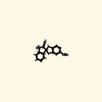 CC(C)(C)c1ccc2c(c1)CC1(C2)C(=O)Nc2ccccc21